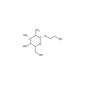 CC1[C@H](OCCS)OC(CO)C(O)[C@@H]1O